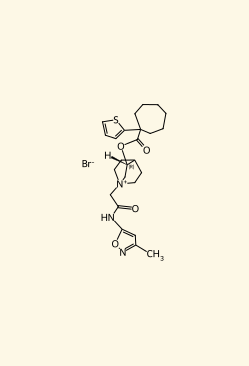 Cc1cc(NC(=O)C[N+]23CCC(CC2)[C@@H](OC(=O)C2(c4cccs4)CCCCCC2)C3)on1.[Br-]